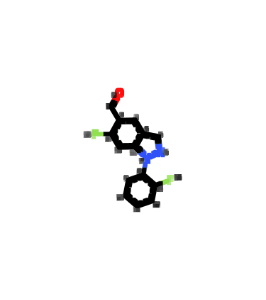 O=Cc1cc2cnn(-c3ccccc3F)c2cc1F